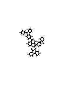 C1=Cc2sc3ccc(N(c4ccc5c6ccccc6c6ccccc6c5c4)c4ccc(-c5ccc6c(c5)c5ccccc5n6-c5ccccc5)c5ccccc45)cc3c2CC1